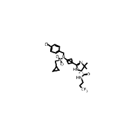 CC1(C)N=C(C23CC(N(Cc4ccc(Cl)cc4)S(=O)(=O)CC4CC4)(C2)C3)N[C@H]1C(=O)NCCC(F)(F)F